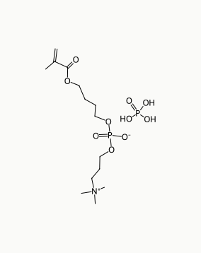 C=C(C)C(=O)OCCCCOP(=O)([O-])OCCC[N+](C)(C)C.O=P(O)(O)O